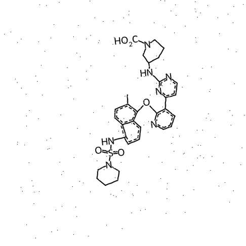 Cc1ccc2c(NS(=O)(=O)N3CCCCC3)cccc2c1Oc1ncccc1-c1ccnc(NC2CCCN(C(=O)O)C2)n1